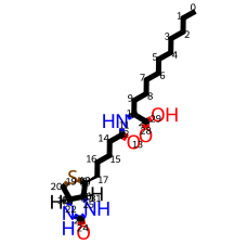 CCCCCCCCCCC(NC(=O)CCCC[C@@H]1SC[C@@H]2NC(=O)N[C@@H]21)C(=O)O